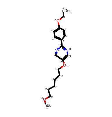 CCCCCCCCCCCOc1ccc(-c2ncc(OCCCCCCOCCCC)cn2)cc1